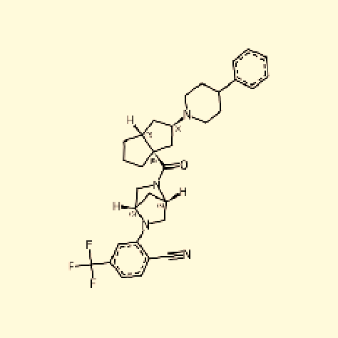 N#Cc1ccc(C(F)(F)F)cc1N1C[C@@H]2C[C@H]1CN2C(=O)[C@@]12CCC[C@@H]1C[C@@H](N1CCC(c3ccccc3)CC1)C2